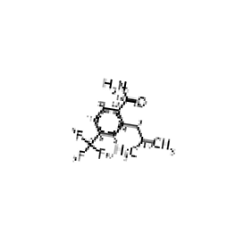 CC(C)Cc1cc(C(F)(F)F)ccc1C(N)=O